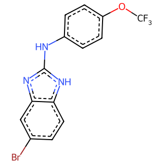 FC(F)(F)Oc1ccc(Nc2nc3cc(Br)ccc3[nH]2)cc1